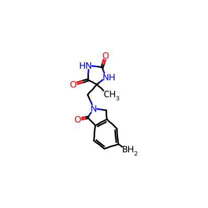 Bc1ccc2c(c1)CN(CC1(C)NC(=O)NC1=O)C2=O